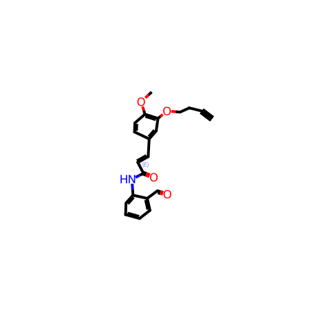 C#CCCOc1cc(/C=C/C(=O)Nc2ccccc2C=O)ccc1OC